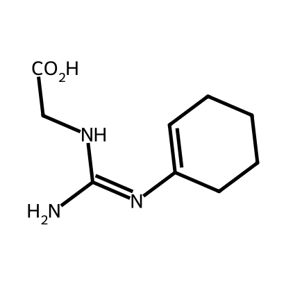 NC(=NC1=CCCCC1)NCC(=O)O